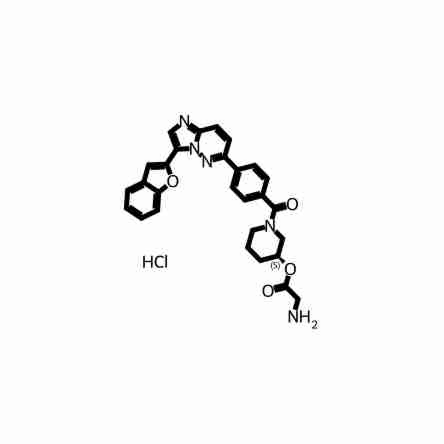 Cl.NCC(=O)O[C@H]1CCCN(C(=O)c2ccc(-c3ccc4ncc(-c5cc6ccccc6o5)n4n3)cc2)C1